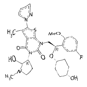 COc1ccc(F)cc1[C@H](Cn1c(=O)n([C@@H]2CCN(C)C2O)c(=O)c2c(C)c(-n3cccn3)sc21)O[C@H]1CC[C@@H](O)CC1